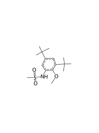 COc1c(NS(C)(=O)=O)cc(C(C)(C)C)cc1C(C)(C)C